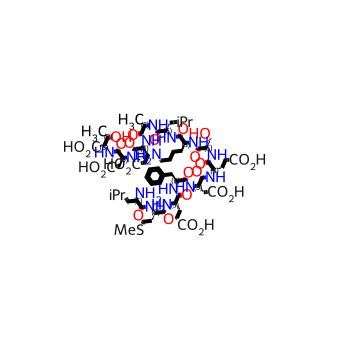 CSCC[C@H](NC(=O)[C@@H](N)CC(C)C)C(=O)N[C@@H](CCC(=O)O)C(=O)N[C@@H](Cc1ccccc1)C(=O)N[C@@H](CC(=O)O)C(=O)N[C@@H](CCC(=O)O)C(=O)N[C@@H](CO)C(=O)N[C@@H](CCCCN)C(=O)N[C@@H](CC(C)C)C(=O)N[C@@H](C)C(=O)N[C@@H](CCC(=O)O)C(=O)N[C@@H](CC(=O)O)C(=O)N[C@H](C(=O)O)[C@@H](C)O